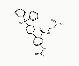 CN(C)CCNC(=O)c1cc(NC(=O)C(C)(C)C)ccc1N1CCC(C(O)(c2ccccc2)c2ccccc2)CC1